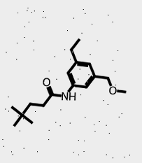 CCc1cc(COC)cc(NC(=O)CCC(C)(C)C)c1